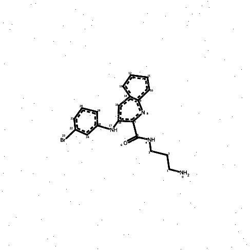 NCCCNC(=O)c1nc2ccccc2cc1Nc1cccc(Br)c1